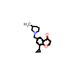 CC1CCCN(Cc2cc(C3CC3)c3occc(=O)c3c2)C1